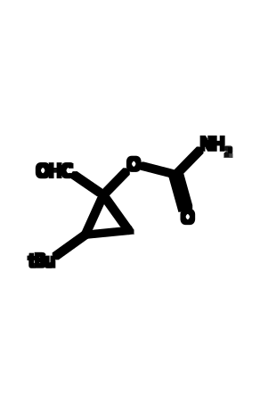 CC(C)(C)C1CC1(C=O)OC(N)=O